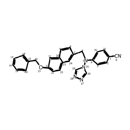 N#Cc1ccc(N(Cc2ccc3cc(OCc4ccccc4)ccc3c2)n2cnnc2)cc1